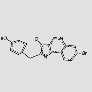 COc1ccc(Cn2nc3c4ccc(Br)cc4ncc3[n+]2[O-])cc1